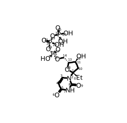 CC[C@]1(n2ccc(=O)[nH]c2=O)C[C@H](O)[C@@H](COP(=O)(O)OP(=O)(O)OP(=O)(O)O)O1